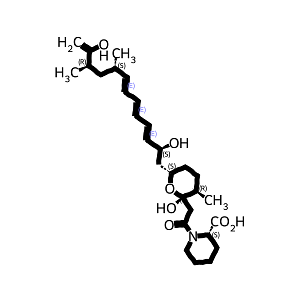 C=C(O)[C@H](C)C[C@H](C)/C=C/C=C/C=C/[C@@H](O)C[C@@H]1CC[C@@H](C)[C@](O)(CC(=O)N2CCCC[C@H]2C(=O)O)O1